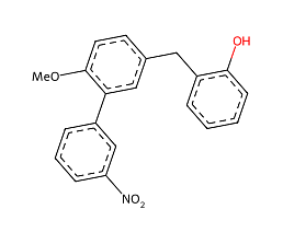 COc1ccc(Cc2ccccc2O)cc1-c1cccc([N+](=O)[O-])c1